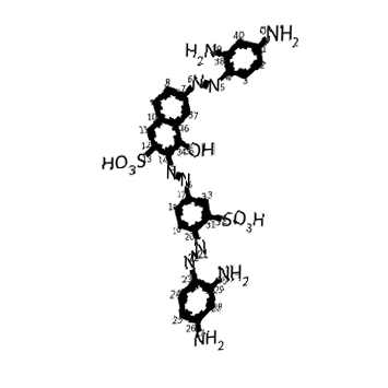 Nc1ccc(N=Nc2ccc3cc(S(=O)(=O)O)c(N=Nc4ccc(N=Nc5ccc(N)cc5N)c(S(=O)(=O)O)c4)c(O)c3c2)c(N)c1